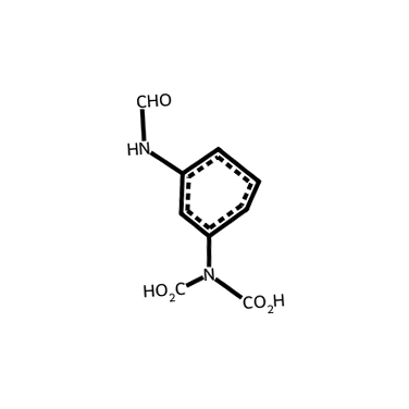 O=CNc1cccc(N(C(=O)O)C(=O)O)c1